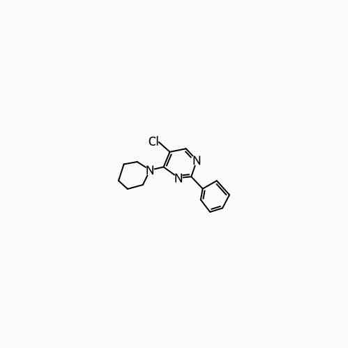 Clc1cnc(-c2ccccc2)nc1N1CCCCC1